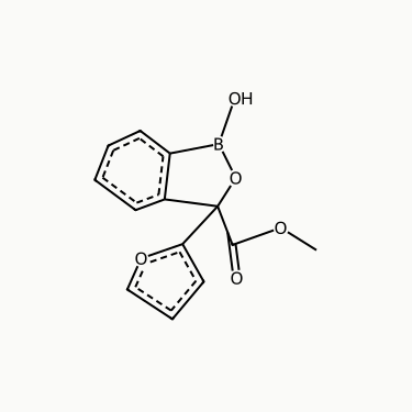 COC(=O)C1(c2ccco2)OB(O)c2ccccc21